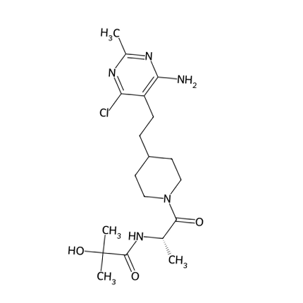 Cc1nc(N)c(CCC2CCN(C(=O)[C@H](C)NC(=O)C(C)(C)O)CC2)c(Cl)n1